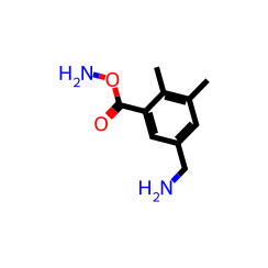 Cc1cc(CN)cc(C(=O)ON)c1C